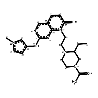 CCC1CN(C(=O)O)CCN1CCn1c(=O)ccc2cnc(Nc3cnn(C)c3)nc21